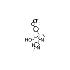 Cc1ncc(C2=NC=CC(c3ccc(OC(F)(F)F)cc3)N2[C@@H](C)CO)cn1